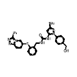 CC(C)c1nnc2ccc(Sc3ccccc3CNC(=O)Nc3cc(C(C)(C)C)nn3-c3ccc(CO)cc3)cn12